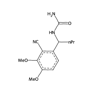 CCCC(NC(N)=O)c1ccc(OC)c(OC)c1C#N